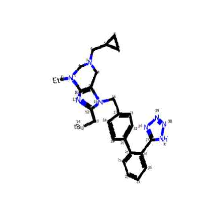 CCN1CN(CC2CC2)Cc2c1nc(CC(C)(C)C)n2Cc1ccc(-c2ccccc2-c2nnn[nH]2)cc1